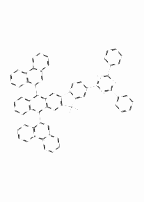 CC1(C)c2cc(-c3nc(-c4ccccc4)nc(-c4ccccc4)n3)ccc2-c2cc3c(-c4cc5ccccc5c5ccccc45)c4ccccc4c(-c4cc5ccccc5c5ccccc45)c3cc21